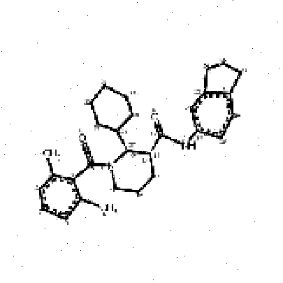 Cc1cccc(C)c1C(=O)N1CCC[C@H](C(=O)Nc2ccc3c(c2)CCC3)[C@@H]1C1CCCCC1